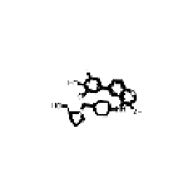 CC(=O)c1cnc2ccc(-c3cc(F)c(O)c(Cl)c3)cc2c1NC1CCC(CN2CCC[C@H]2CO)CC1